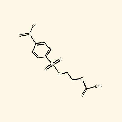 CC(=O)OCCOS(=O)(=O)c1ccc([N+](=O)[O-])cc1